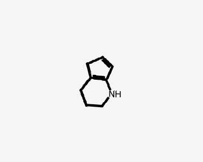 C1=CC2=C(C1)CCCN2